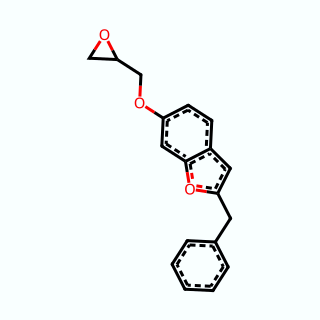 c1ccc(Cc2cc3ccc(OCC4CO4)cc3o2)cc1